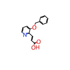 O=C(O)/C=C/c1ncccc1OCc1ccccc1